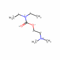 CCN(CC)C(=O)OCCN(C)C